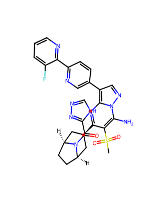 CS(=O)(=O)c1c([C@H]2C[C@H]3CC[C@@H](C2)N3C(=O)c2nnc[nH]2)nc2c(-c3ccc(-c4ncccc4F)nc3)cnn2c1N